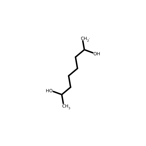 [CH2]C(O)CCCCC(C)O